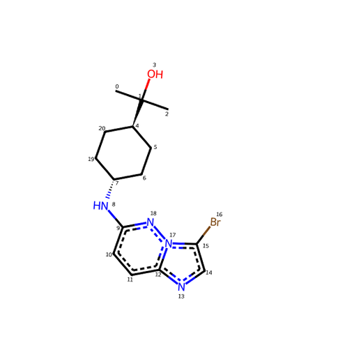 CC(C)(O)[C@H]1CC[C@H](Nc2ccc3ncc(Br)n3n2)CC1